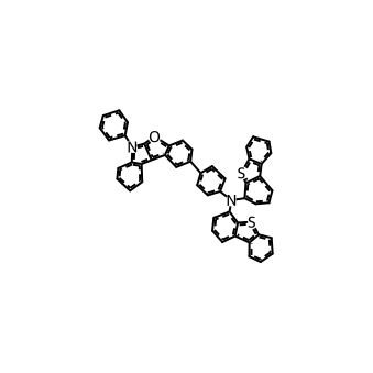 c1ccc(-n2c3ccccc3c3c4cc(-c5ccc(N(c6cccc7c6sc6ccccc67)c6cccc7c6sc6ccccc67)cc5)ccc4oc32)cc1